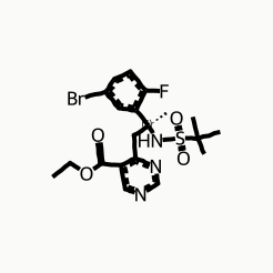 CCOC(=O)c1cncnc1C[C@](C)(NS(=O)(=O)C(C)(C)C)c1cc(Br)ccc1F